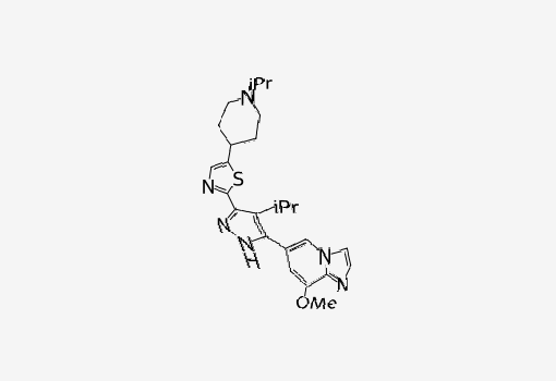 COc1cc(-c2[nH]nc(-c3ncc(C4CCN(C(C)C)CC4)s3)c2C(C)C)cn2ccnc12